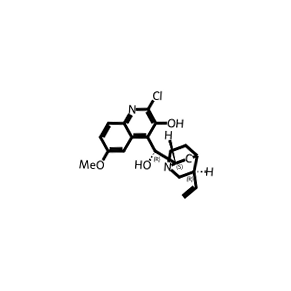 C=C[C@H]1CN2CCC1C[C@H]2[C@H](O)c1c(O)c(Cl)nc2ccc(OC)cc12